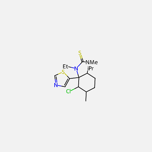 CCN(C(=S)NC)C1(c2cncs2)C(Cl)C(C)CCC1C(C)C